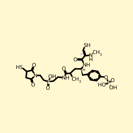 CN/C(=C\S)C(=O)N[C@@H](Cc1ccc(OP(=O)(O)O)cc1)CC(C)C(=O)NCCP(=O)(O)CCN1C(=O)CC(S)C1=O